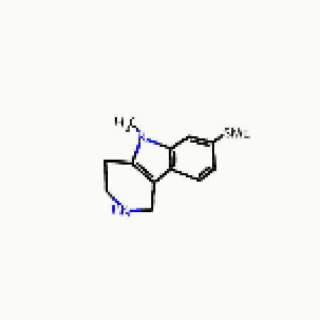 CSc1ccc2c3c(n(C)c2c1)CCNC3